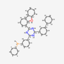 CP(c1ccccc1)c1cccc(-c2nc(-c3cccc(-c4ccccc4)c3)nc(-c3cccc4c3oc3ccccc34)n2)c1